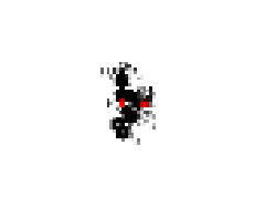 CC1=Cc2c(-c3cccc4ccccc34)c(C)c(C)c(C)c2[CH]1[Zr]([CH3])([CH3])(=[SiH2])[CH]1C(C(C)C)=Cc2c(-c3ccc(C(C)(C)C)cc3)cccc21.Cl.Cl